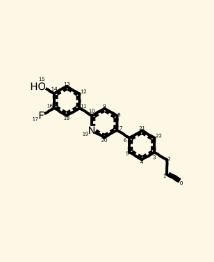 C=CCc1ccc(-c2ccc(-c3ccc(O)c(F)c3)nc2)cc1